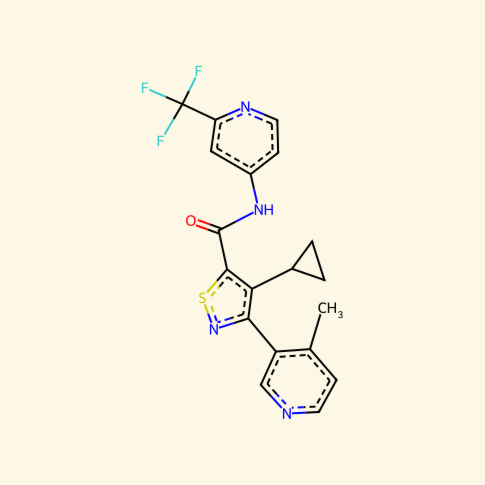 Cc1ccncc1-c1nsc(C(=O)Nc2ccnc(C(F)(F)F)c2)c1C1CC1